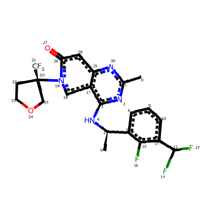 Cc1nc(N[C@H](C)c2cccc(C(F)F)c2F)c2cn([C@@]3(C(F)(F)F)CCOC3)c(=O)cc2n1